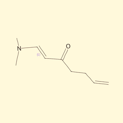 C=CCCC(=O)/C=C/N(C)C